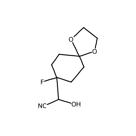 N#CC(O)C1(F)CCC2(CC1)OCCO2